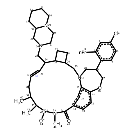 CCCc1cc(Cl)ccc1C1COc2ccc3cc2N(C1)CC1CCC1C(CN1CCN2CCCCC2C1)/C=C/CC(C)C(C)[S+]([O-])N(C)C3=O